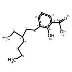 CCCCC(CC)CCc1cccc(C(=O)O)c1O